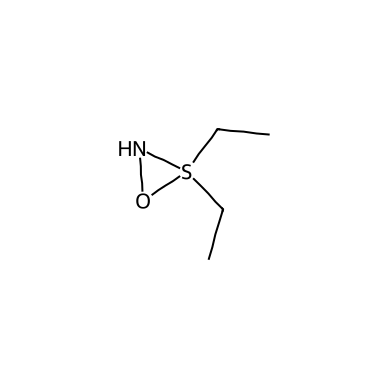 CCS1(CC)NO1